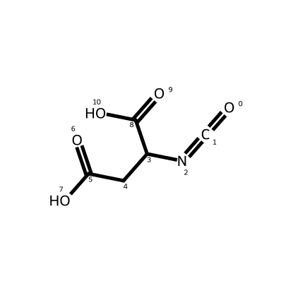 O=C=NC(CC(=O)O)C(=O)O